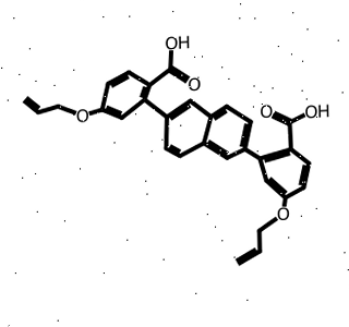 C=CCOc1ccc(C(=O)O)c(-c2ccc3cc(-c4cc(OCC=C)ccc4C(=O)O)ccc3c2)c1